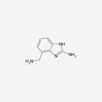 NCc1cccc2[nH]c(N)nc12